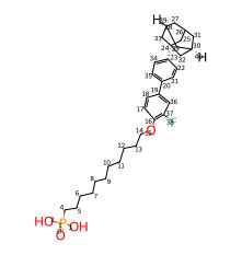 O=P(O)(O)CCCCCCCCCCCOc1ccc(-c2ccc([C@]34CC5C[C@H](C[C@@H](C5)C3)C4)cc2)cc1F